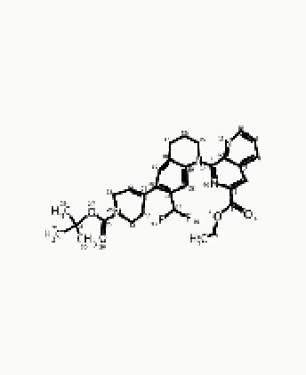 CCOC(=O)c1cc2cccnc2c(N2CCCc3cc(C4=CCN(C(=O)OC(C)(C)C)CC4)c(C(F)F)cc32)n1